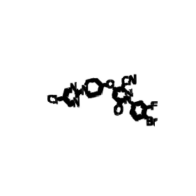 N#Cc1nn(-c2ccc(Br)c(F)c2)c(=O)cc1OC1CCN(c2ncc(Cl)cn2)CC1